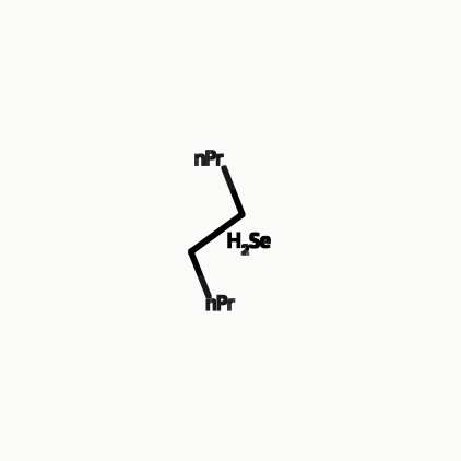 CCCCCCCC.[SeH2]